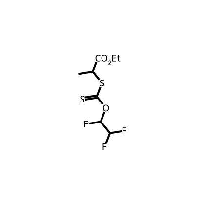 CCOC(=O)C(C)SC(=S)OC(F)C(F)F